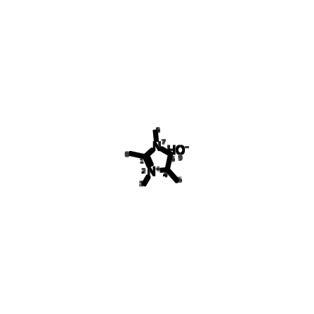 CC1=[N+](C)C(C)CN1C.[OH-]